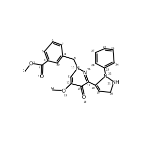 COC(=O)c1cccc(Cn2cc(OC)c(=O)c(C3=CCNN3c3ccccc3)n2)c1